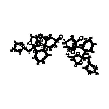 CC1COC(Cn2cncn2)(c2ccccc2[C@]2(Cl)C=C[C@H](O[C@H]3C=C[C@@](Cl)(c4ccccc4C4(Cn5cncn5)OCC(C)O4)C(Cl)=C3)C=C2Cl)O1